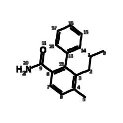 CCCc1c(C)ccc(C(N)=O)c1-c1ccccc1